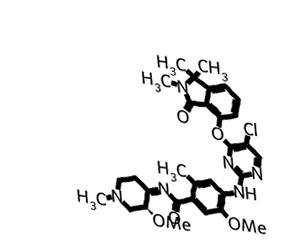 COc1cc(C(=O)/N=C2/CCN(C)C[C@H]2OC)c(C)cc1Nc1ncc(Cl)c(Oc2cccc3c2C(=O)N(C)C3(C)C)n1